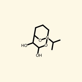 CC(C)[Si]12CCCC(O1)C(O)C(O)O2